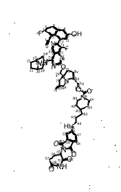 C#Cc1c(F)ccc2cc(O)cc(-c3ncc4c(N5CC6CCC(C5)N6)nc(OC[C@@]56CC[C@@H](COC(=O)N7CCC(CCCNc8ccc9c(c8)C(=O)N(C8CCC(=O)NC8=O)C9=O)CC7)N5CC(=C)C6)nc4c3F)c12